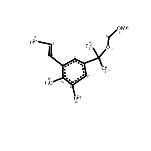 CCCC=Cc1cc(C(OCOC)(C(F)(F)F)C(F)(F)F)cc(CCC)c1O